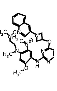 COc1cc(N(C)CCN(C)C)c([N+](=O)[O-])cc1Nc1nccc(OC2CN(c3cnc4ccccc4c3)C2)n1